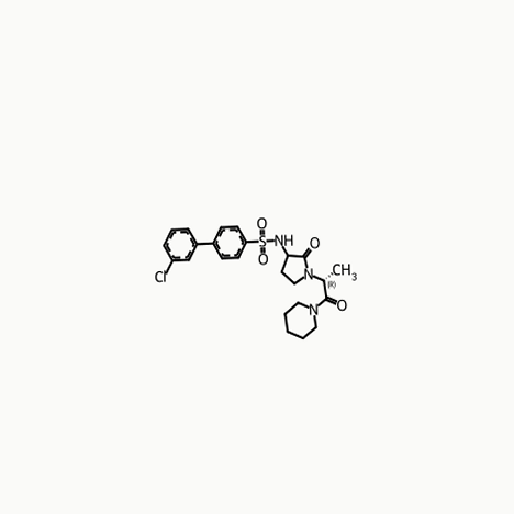 C[C@H](C(=O)N1CCCCC1)N1CCC(NS(=O)(=O)c2ccc(-c3cccc(Cl)c3)cc2)C1=O